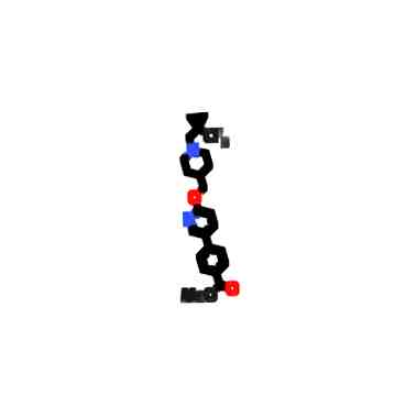 COC(=O)c1ccc(-c2ccc(OCC3CCN(CC4(C(F)(F)F)CC4)CC3)nc2)cc1